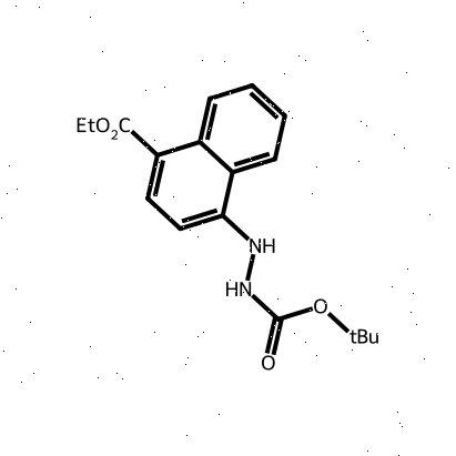 CCOC(=O)c1ccc(NNC(=O)OC(C)(C)C)c2ccccc12